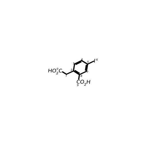 O=C(O)Cc1ccc(I)cc1C(=O)O